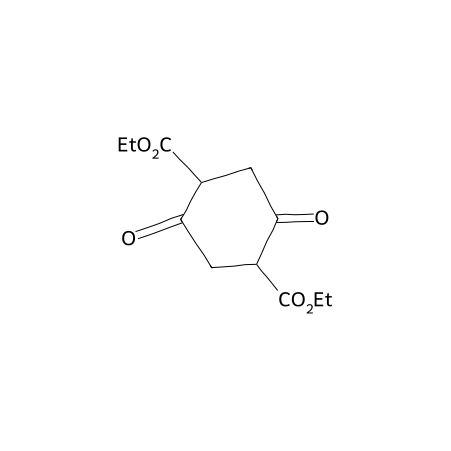 CCOC(=O)C1CC(=O)C(C(=O)OCC)CC1=O